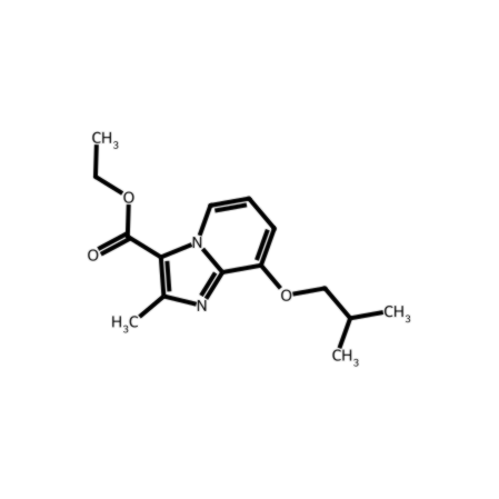 CCOC(=O)c1c(C)nc2c(OCC(C)C)cccn12